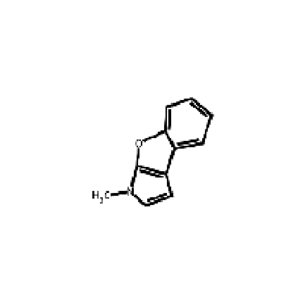 Cn1ccc2c3ccccc3oc21